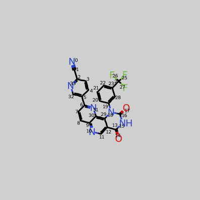 N#Cc1ccc(-c2ccc3ncc4c(=O)[nH]c(=O)n(-c5cccc(C(F)(F)F)c5)c4c3n2)cn1